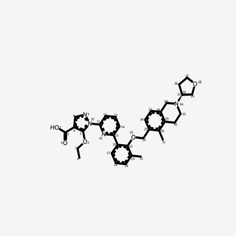 CCOc1c(C(=O)O)cnn1-c1cccc(-c2cccc(C)c2OCc2ccc3c(c2C)CCN([C@H]2CCOC2)C3)n1